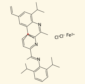 C=Cc1cc(C(C)C)c(N=C(C)c2cccc(C(C)=Nc3c(C(C)C)cccc3C(C)C)n2)c(C(C)C)c1.[Cl-].[Cl-].[Fe+2]